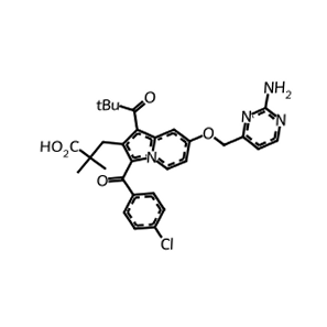 CC(C)(C)C(=O)c1c(CC(C)(C)C(=O)O)c(C(=O)c2ccc(Cl)cc2)n2ccc(OCc3ccnc(N)n3)cc12